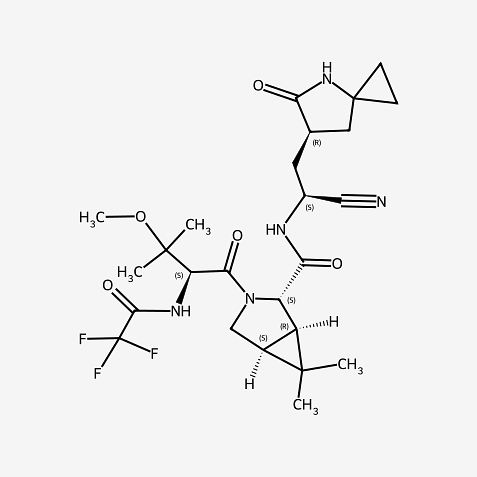 COC(C)(C)[C@H](NC(=O)C(F)(F)F)C(=O)N1C[C@H]2[C@@H]([C@H]1C(=O)N[C@H](C#N)C[C@@H]1CC3(CC3)NC1=O)C2(C)C